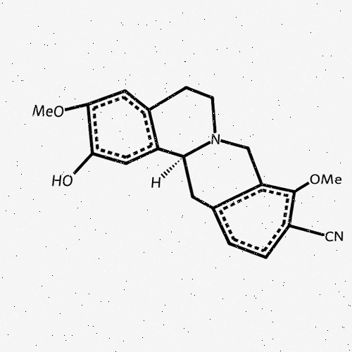 COc1cc2c(cc1O)[C@@H]1Cc3ccc(C#N)c(OC)c3CN1CC2